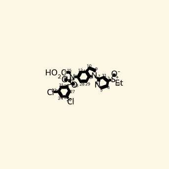 CC[S+]([O-])c1ccnc(-n2ccc3cc(N(CC(=O)O)S(=O)(=O)c4cc(Cl)cc(Cl)c4)ccc32)c1